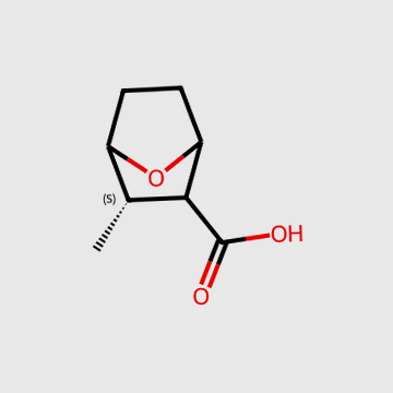 C[C@@H]1C2CCC(O2)C1C(=O)O